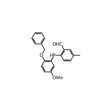 COc1ccc(OCc2ccccc2)c(Pc2ccc(C)cc2C=O)c1